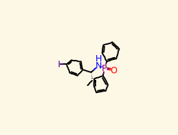 CC[C@@H](NP(=O)(c1ccccc1)c1ccccc1)c1ccc(I)cc1